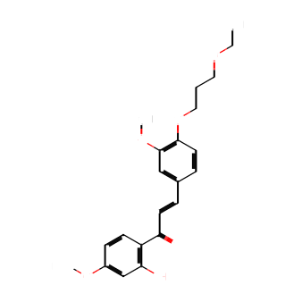 CCOCCCOc1ccc(/C=C/C(=O)c2ccc(OC)cc2O)cc1OC